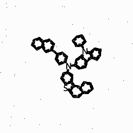 c1ccc(-n2c3ccccc3c3ccc(N(c4ccc(-c5ccc6ccccc6c5)cc4)c4ccc5sc6ccc7ccccc7c6c5c4)cc32)cc1